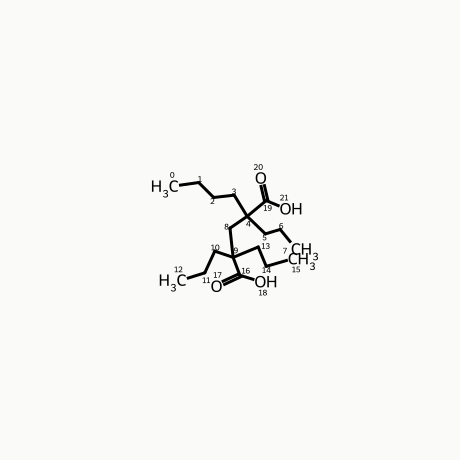 CCCCC(CCC)(CC(CCC)(CCC)C(=O)O)C(=O)O